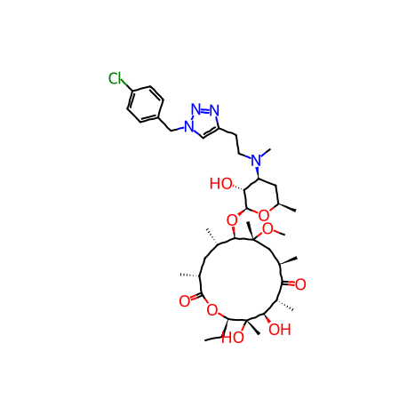 CC[C@H]1OC(=O)[C@H](C)C[C@H](C)[C@@H](O[C@@H]2O[C@H](C)C[C@H](N(C)CCc3cn(Cc4ccc(Cl)cc4)nn3)[C@H]2O)[C@](C)(OC)C[C@@H](C)C(=O)[C@H](C)[C@@H](O)[C@]1(C)O